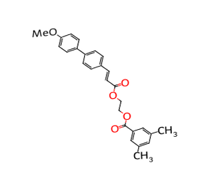 COc1ccc(-c2ccc(/C=C/C(=O)OCCOC(=O)c3cc(C)cc(C)c3)cc2)cc1